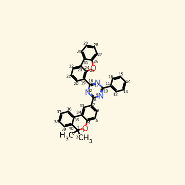 CC1(C)Oc2ccc(-c3nc(-c4ccccc4)nc(-c4cccc5c4oc4ccccc45)n3)cc2-c2ccccc21